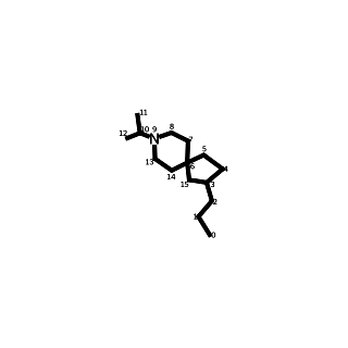 CCCC1CCC2(CCN(C(C)C)CC2)C1